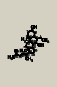 CC[C@@H]1C2C[C@H](O)CCC2(C)C2CCC3(C)C(C(C)CCC(C)=O)CCC3C2[C@H]1O